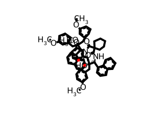 COc1cccc(CC(O)(Cc2cccc(OC)c2)[C@@H](NC(=O)C2(C(=O)N[C@@H](c3cccc4ccccc34)C(O)(Cc3cccc(OC)c3)Cc3cccc(OC)c3)CCCCC2)c2cccc3ccccc23)c1